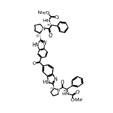 COC(=O)N[C@@H](C(=O)N1CCC[C@H]1c1nc2ccc(C(=O)c3ccc4nc([C@@H]5CCCN5C(=O)[C@H](NC(=O)OC)c5ccccc5)[nH]c4c3)cc2[nH]1)c1ccccc1